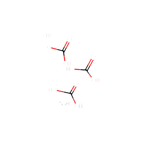 O=C(O)O.O=C(O)O.O=C(O)O.[KH].[NaH]